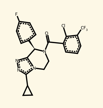 O=C(c1cccc(C(F)(F)F)c1Cl)N1CCn2c(C3CC3)nnc2[C@H]1c1ccc(F)cc1